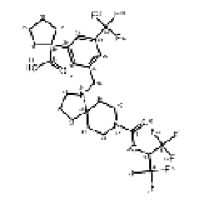 O=C(OC(C(F)(F)F)C(F)(F)F)N1CCC2(CCCN2Cc2cc(C(F)(F)F)cc(C3(C(=O)O)CCCC3)c2)CC1